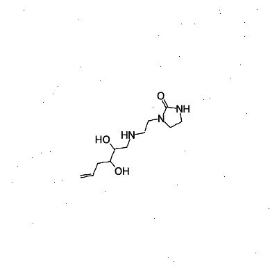 C=CCC(O)C(O)CNCCN1CCNC1=O